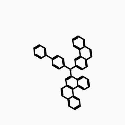 c1ccc(-c2ccc(N(c3ccc4ccc5ccccc5c4c3)c3cc4ccc5ccccc5c4c4ccccc34)cc2)cc1